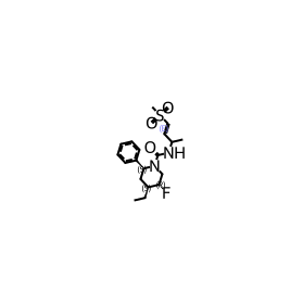 CC[C@H]1C[C@@H](c2ccccc2)N(C(=O)NC(C)/C=C/S(C)(=O)=O)C[C@@H]1F